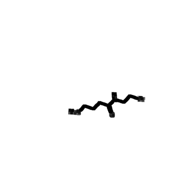 CSCCCC(=O)NCCC(C)C